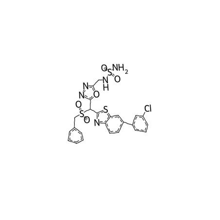 NS(=O)(=O)NCc1nnc(C(c2nc3ccc(-c4cccc(Cl)c4)cc3s2)S(=O)(=O)Cc2ccccc2)o1